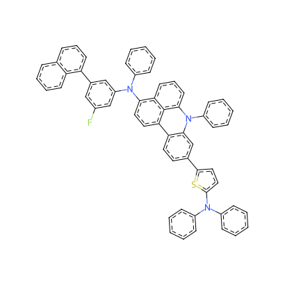 Fc1cc(-c2cccc3ccccc23)cc(N(c2ccccc2)c2ccc3c4c(cccc24)N(c2ccccc2)c2cc(-c4ccc(N(c5ccccc5)c5ccccc5)s4)ccc2-3)c1